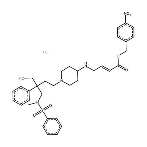 CN(CC(CO)(CCN1CCC(NCC=CC(=O)OCc2ccc([N+](=O)[O-])cc2)CC1)c1ccccc1)S(=O)(=O)c1ccccc1.Cl